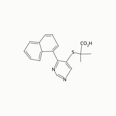 CC(C)(Sc1cncnc1-c1cccc2ccccc12)C(=O)O